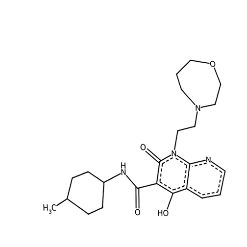 CC1CCC(NC(=O)c2c(O)c3cccnc3n(CCN3CCCOCC3)c2=O)CC1